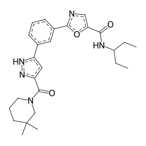 CCC(CC)NC(=O)c1cnc(-c2cccc(-c3cc(C(=O)N4CCCC(C)(C)C4)n[nH]3)c2)o1